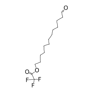 O=CCCCCCCCCCCCCOC(=O)C(F)(F)F